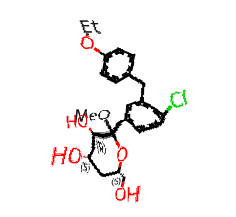 CCOc1ccc(Cc2cc(C3(OC)O[C@H](CO)C[C@H](O)[C@H]3O)ccc2Cl)cc1